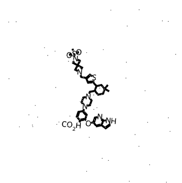 CC1(C)CCC(CN2CCN(c3ccc(C(=O)O)c(Oc4cnc5[nH]ccc5c4)c3)CC2)C(c2cc(CN3CC4(C3)CN(S(C)(=O)=O)C4)cs2)C1